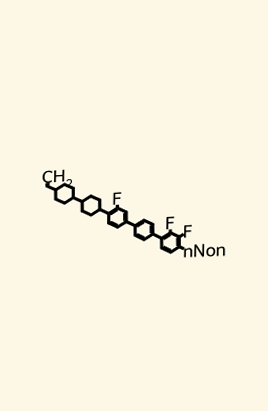 C=CC1CCC(C2CCC(c3ccc(-c4ccc(-c5ccc(CCCCCCCCC)c(F)c5F)cc4)cc3F)CC2)CC1